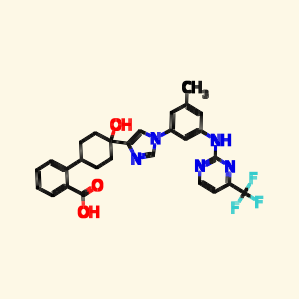 Cc1cc(Nc2nccc(C(F)(F)F)n2)cc(-n2cnc(C3(O)CCC(c4ccccc4C(=O)O)CC3)c2)c1